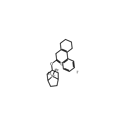 CC[N+]1(C(C)C)C2CCC1CC(OC(=O)CC1=C(c3ccccc3)CCCC1)C2.[I-]